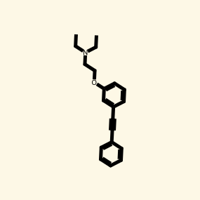 CCN(CC)CCOc1cccc(C#Cc2ccccc2)c1